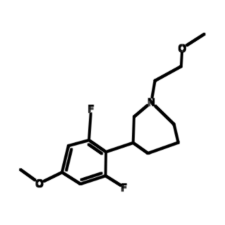 COCCN1CCCC(c2c(F)cc(OC)cc2F)C1